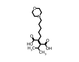 CC(C)C(C(=O)O)=C(CCCCCN1CCOCC1)C(=O)O